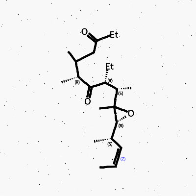 C/C=C\[C@H](C)[C@H]1OC1(C)[C@@H](C)[C@@H](CC)C(=O)[C@H](C)C(C)CC(=O)CC